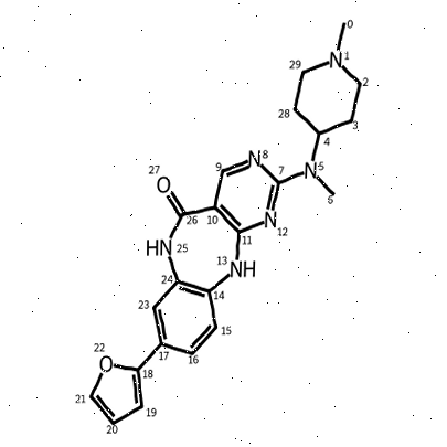 CN1CCC(N(C)c2ncc3c(n2)Nc2ccc(-c4ccco4)cc2NC3=O)CC1